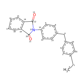 CCc1ccc(Cc2ccc(N3C(=O)c4ccccc4C3=O)cc2)cc1